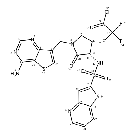 Nc1ncnc2c(CN3CC[C@H](NS(=O)(=O)c4cc5ncccc5s4)C3=O)csc12.O=C(O)C(F)(F)F